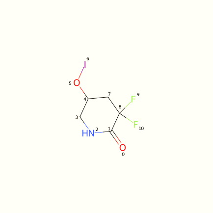 O=C1NCC(OI)CC1(F)F